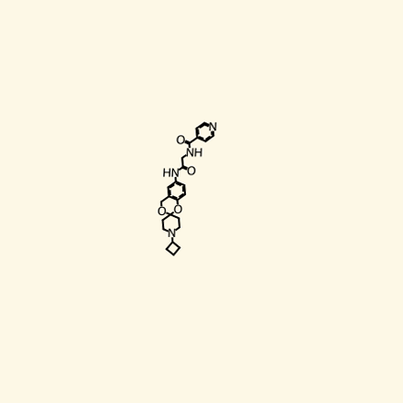 O=C(CNC(=O)c1ccncc1)Nc1ccc2c(c1)COC1(CCN(C3CCC3)CC1)O2